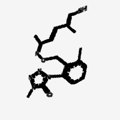 CC(/C=C/C(C)=C/S)=N/OCc1c(C)cccc1-n1nnn(C)c1=O